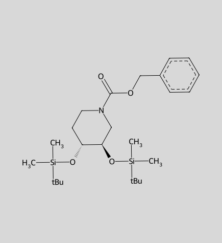 CC(C)(C)[Si](C)(C)O[C@@H]1CCN(C(=O)OCc2ccccc2)C[C@H]1O[Si](C)(C)C(C)(C)C